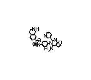 NC1c2ccoc2N=C(c2cccnc2)N1c1ccc(NS(=O)(=O)c2ccc3c(c2)CNCC3)cc1